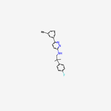 C#Cc1cccc(-c2ccc(NCC(C)(C)c3ccc(F)cc3)nn2)c1